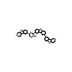 C1=C(c2ccc3sc4cnccc4c3c2)N=C(c2ccc3sc4ccc(-c5ccc6sc7ccncc7c6c5)cc4c3c2)NC1